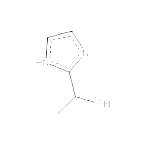 CC(O)c1ncc[nH]1